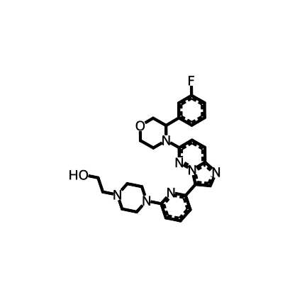 OCCN1CCN(c2cccc(-c3cnc4ccc(N5CCOCC5c5cccc(F)c5)nn34)n2)CC1